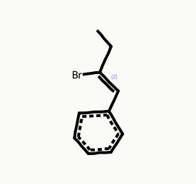 CC/C(Br)=C/c1ccccc1